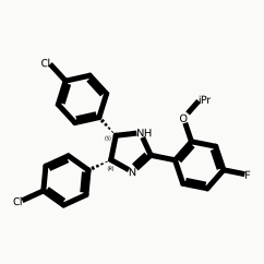 CC(C)Oc1cc(F)ccc1C1=N[C@H](c2ccc(Cl)cc2)[C@H](c2ccc(Cl)cc2)N1